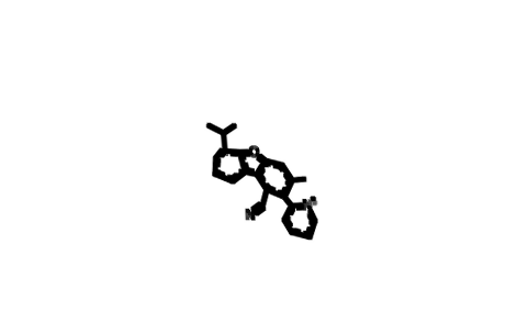 Cc1cc2oc3c(C(C)C)cccc3c2c(C#N)c1-c1cccc[n+]1C